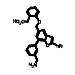 CCCc1cc2cc(COc3ccccc3CC(=O)O)cc(-c3cccc(CN)c3)c2o1